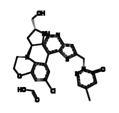 Cc1cnn(Cc2cc3nccc(-c4cc(Cl)cc5c4N([C@@H]4CN[C@@H](CO)C4)CCO5)c3s2)c(=O)c1.O=CO